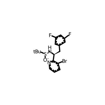 CC(C)(C)[S+]([O-])N[C@@H](Cc1cc(F)cc(F)c1)c1ncccc1Br